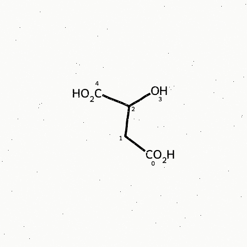 O=C(O)CC(O)[13C](=O)O